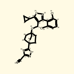 N#Cc1noc(C23CCC(OCc4c(-c5c(Cl)cccc5Cl)noc4C4CC4)(CC2)CC3)n1